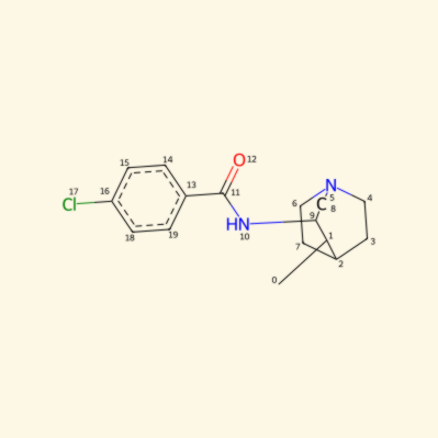 CC1C2CCN(CC2)CC1NC(=O)c1ccc(Cl)cc1